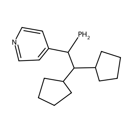 PC(c1ccncc1)C(C1CCCC1)C1CCCC1